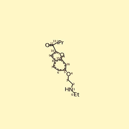 CCNCCOc1ccc2cc(C(=O)C(C)C)oc2c1